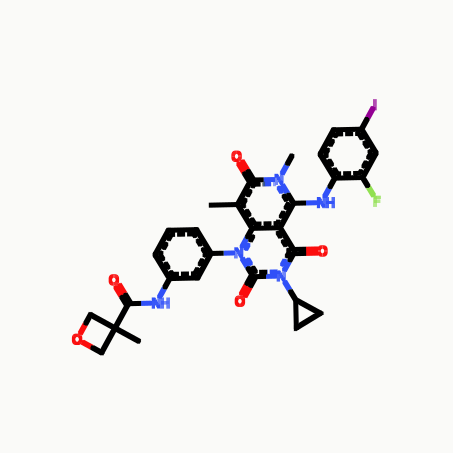 Cc1c(=O)n(C)c(Nc2ccc(I)cc2F)c2c(=O)n(C3CC3)c(=O)n(-c3cccc(NC(=O)C4(C)COC4)c3)c12